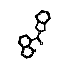 O=C(c1cccc2cccnc12)N1Cc2ccccc2C1